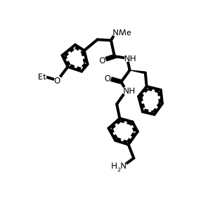 CCOc1ccc(CC(NC)C(=O)N[C@@H](Cc2ccccc2)C(=O)NCc2ccc(CN)cc2)cc1